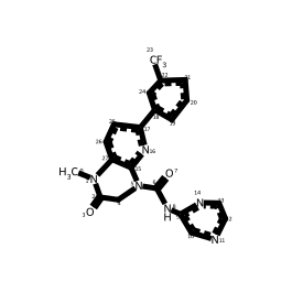 CN1C(=O)CN(C(=O)Nc2cnccn2)c2nc(-c3cccc(C(F)(F)F)c3)ccc21